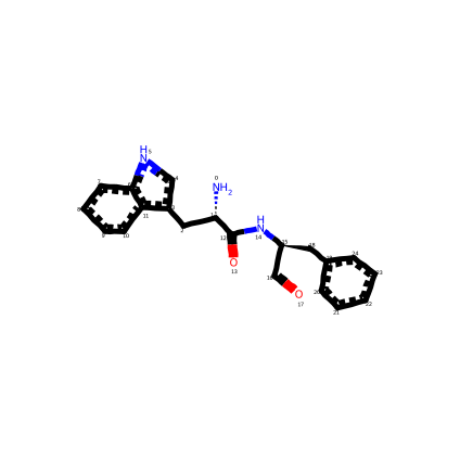 N[C@@H](Cc1c[nH]c2ccccc12)C(=O)N[C@H]([C]=O)Cc1ccccc1